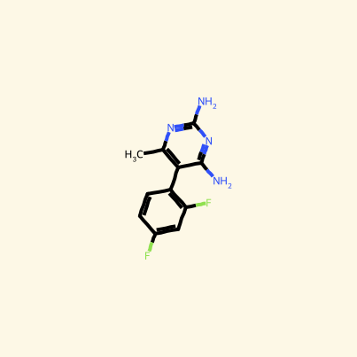 Cc1nc(N)nc(N)c1-c1ccc(F)cc1F